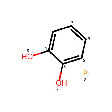 Oc1ccccc1O.[P]